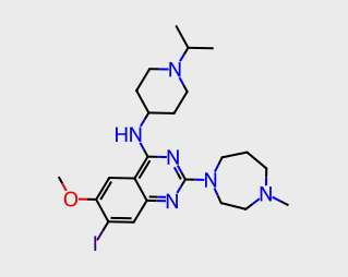 COc1cc2c(NC3CCN(C(C)C)CC3)nc(N3CCCN(C)CC3)nc2cc1I